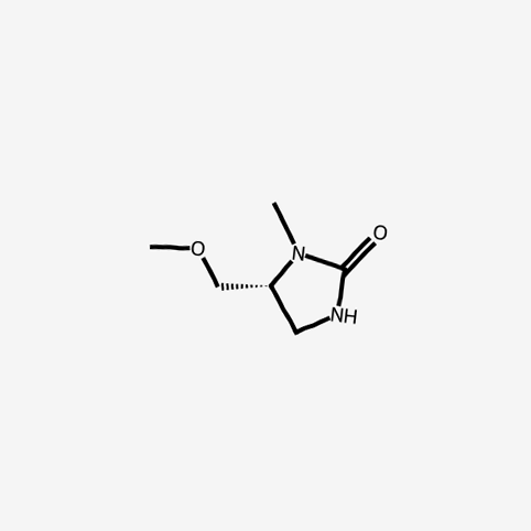 COC[C@H]1CNC(=O)N1C